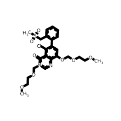 COCCOCOc1cc(-c2ccccc2CS(C)(=O)=O)c(Cl)c2c(=O)n(COCCOC)cnc12